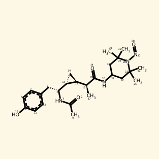 CC(=O)N[C@H](Cc1ccc(O)cc1)[C@@H]1C[C@H]1[C@H](C)C(=O)NC1CC(C)(C)N(N=O)C(C)(C)C1